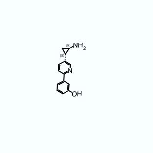 N[C@@H]1C[C@H]1c1ccc(-c2cccc(O)c2)nc1